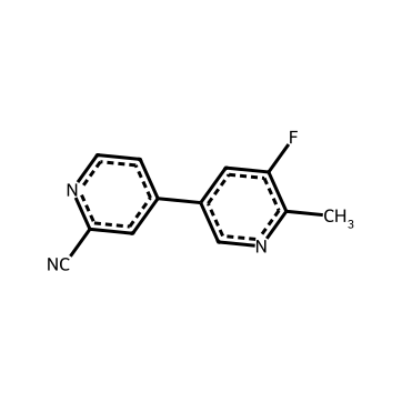 Cc1ncc(-c2ccnc(C#N)c2)cc1F